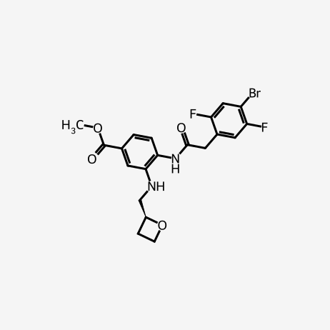 COC(=O)c1ccc(NC(=O)Cc2cc(F)c(Br)cc2F)c(NC[C@@H]2CCO2)c1